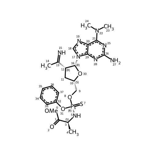 COC(=O)[C@H](C)N[P@@](=S)(OC[C@@H]1C[C@H](C(C)=N)[C@H](n2cnc3c(N(C)C)nc(N)nc32)O1)Oc1ccccc1